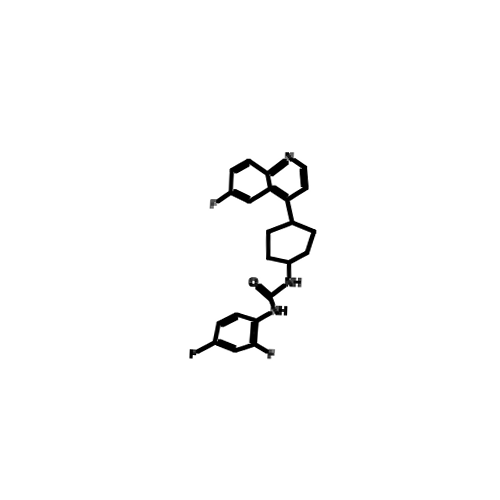 O=C(Nc1ccc(F)cc1F)NC1CCC(c2ccnc3ccc(F)cc23)CC1